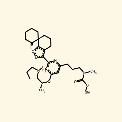 C[C@H](Oc1cc(CCCN(C)C(=O)OC(C)(C)C)nc(-c2noc3c2CCC[C@@]32CCCCC2=O)n1)[C@@H]1CCCN1C